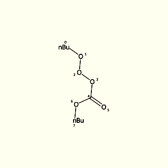 CCCCOOOC(=O)OCCCC